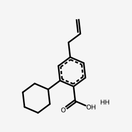 C=CCc1ccc(C(=O)O)c(C2CCCCC2)c1.[HH]